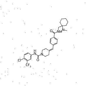 CN(C)C1(CNC(=O)c2ccc(C=C3CCN(C(=O)Nc4ccc(Cl)c(C(F)(F)F)c4)CC3)cc2)CCCCC1